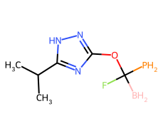 BC(F)(P)Oc1n[nH]c(C(C)C)n1